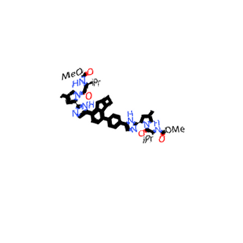 COC(=O)N[C@H](C(=O)N1CC(C)=C[C@H]1c1ncc(-c2ccc(-c3ccc(-c4cnc([C@@H]5C=C(C)CN5C(=O)[C@@H](NC(=O)OC)C(C)C)[nH]4)c4c3C3CCC3C4)cc2)[nH]1)C(C)C